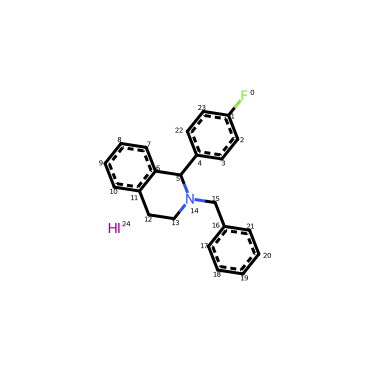 Fc1ccc(C2c3ccccc3CCN2Cc2ccccc2)cc1.I